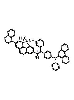 [2H]/C(=C(/c1ccccc1)c1ccc(N(c2ccccc2)c2cc3ccccc3c3ccccc23)cc1)c1cc2c3c(ccc4cc(-c5cccc6ccccc56)cc(c43)C2(C)C)c1